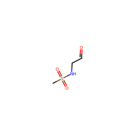 CS(=O)(=O)NC[C]=O